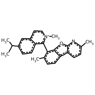 Cc1ccc2c(n1)oc1c(-c3c4ccc(C(C)C)cc4cc[n+]3C)c(C)ccc12